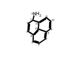 NC1C=Cc2cccc3cccc1c23